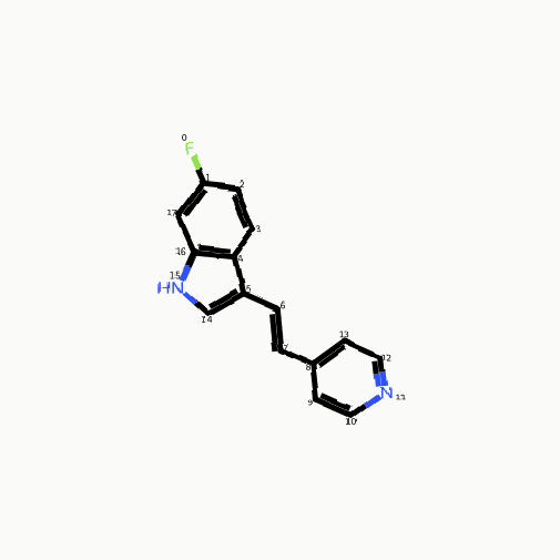 Fc1ccc2c(C=Cc3ccncc3)c[nH]c2c1